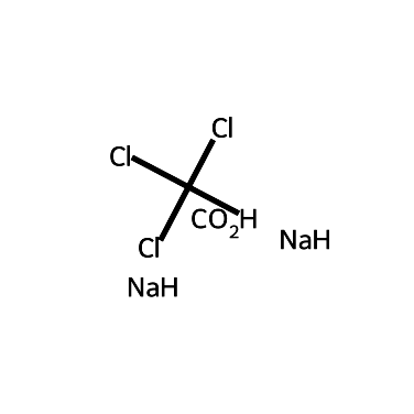 O=C(O)C(Cl)(Cl)Cl.[NaH].[NaH]